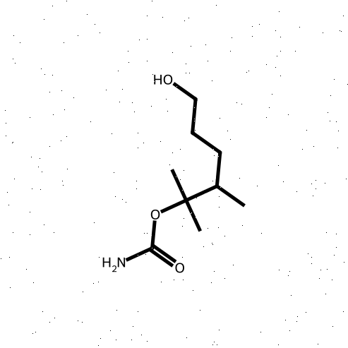 CC(CCCO)C(C)(C)OC(N)=O